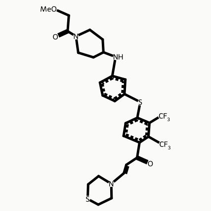 COCC(=O)N1CCC(Nc2cccc(Sc3ccc(C(=O)C=CN4CCSCC4)c(C(F)(F)F)c3C(F)(F)F)c2)CC1